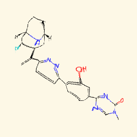 C=C(c1ccc(-c2ccc(-c3ncn(C)c(=O)n3)cc2O)nn1)[C@@H]1C[C@H]2CCC[C@H](N2)[C@@H]1F